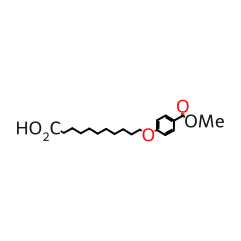 COC(=O)c1ccc(OCCCCCCCCCCC(=O)O)cc1